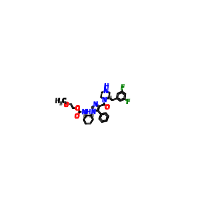 COCCOC(=O)N[C@H]1CCCC[C@@H]1n1cnc(C(=O)N2CCNC[C@H]2Cc2cc(F)cc(F)c2)c1-c1ccccc1